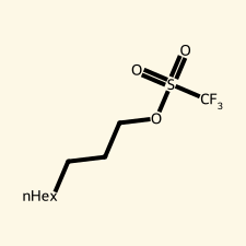 CCCCCCCCCOS(=O)(=O)C(F)(F)F